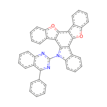 c1ccc(-c2nc(-n3c4ccccc4c4c5oc6ccccc6c5c5oc6ccccc6c5c43)nc3ccccc23)cc1